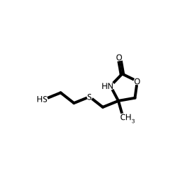 CC1(CSCCS)COC(=O)N1